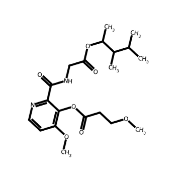 COCCC(=O)Oc1c(OC)ccnc1C(=O)NCC(=O)OC(C)C(C)C(C)C